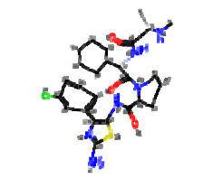 CN[C@@H](C)C(=O)N[C@H](C(=O)N1CCC[C@H]1C(=O)Nc1sc(N)nc1-c1cccc(Cl)c1)C1CCCCC1